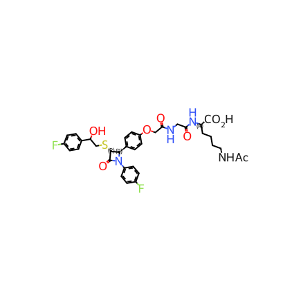 CC(=O)NCCCC[C@@H](NC(=O)CNC(=O)COc1ccc([C@@H]2[C@@H](SCC(O)c3ccc(F)cc3)C(=O)N2c2ccc(F)cc2)cc1)C(=O)O